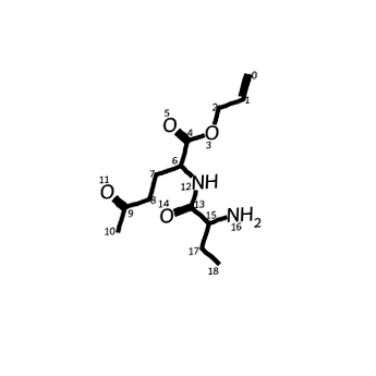 C=CCOC(=O)C(CCC(C)=O)NC(=O)C(N)CC